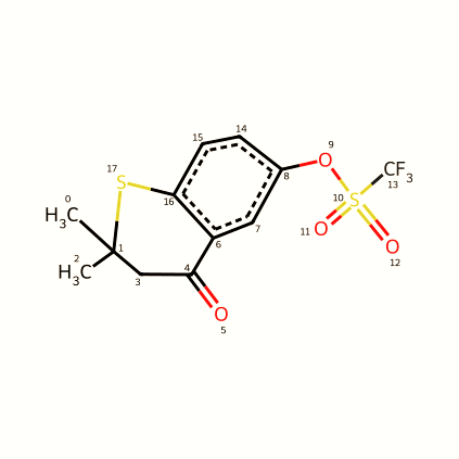 CC1(C)CC(=O)c2cc(OS(=O)(=O)C(F)(F)F)ccc2S1